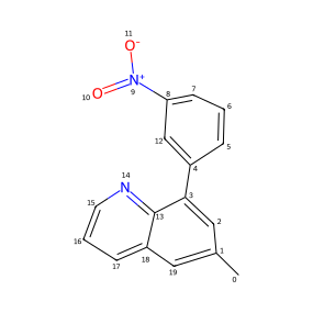 Cc1cc(-c2cccc([N+](=O)[O-])c2)c2ncccc2c1